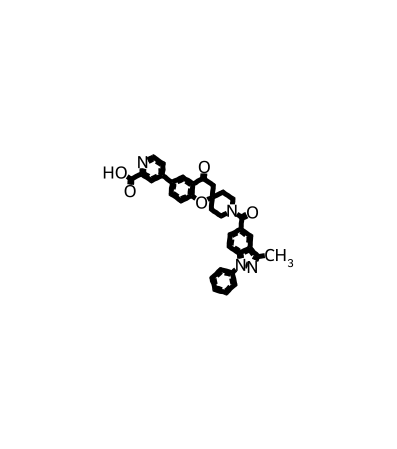 Cc1nn(-c2ccccc2)c2ccc(C(=O)N3CCC4(CC3)CC(=O)c3cc(-c5ccnc(C(=O)O)c5)ccc3O4)cc12